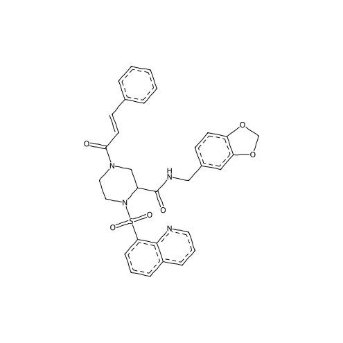 O=C(NCc1ccc2c(c1)OCO2)C1CN(C(=O)C=Cc2ccccc2)CCN1S(=O)(=O)c1cccc2cccnc12